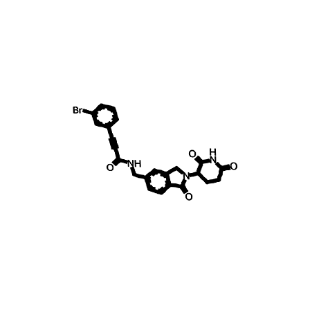 O=C(C#Cc1cccc(Br)c1)NCc1ccc2c(c1)CN(C1CCC(=O)NC1=O)C2=O